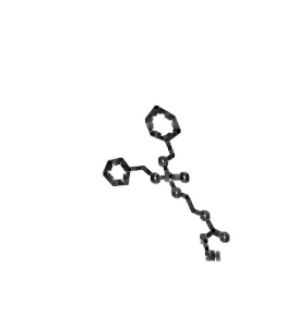 O=C(OCCOP(=O)(OCc1ccccc1)OCc1ccccc1)SS